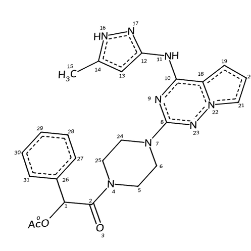 CC(=O)OC(C(=O)N1CCN(c2nc(Nc3cc(C)[nH]n3)c3cccn3n2)CC1)c1ccccc1